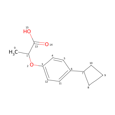 CC(Oc1ccc(C2CCC2)cc1)C(=O)O